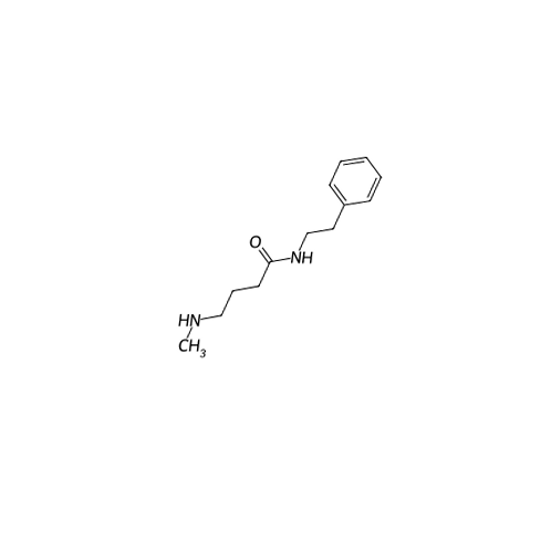 CNCCCC(=O)NCCc1ccccc1